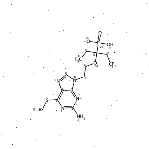 CCCCCCSc1nc(N)nc2c1ncn2CCOC(CC(F)(F)F)(CC(F)(F)F)P(=O)(O)O